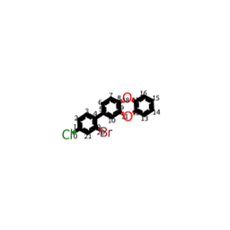 Clc1ccc(-c2ccc3c(c2)Oc2ccccc2O3)c(Br)c1